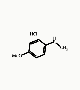 COc1ccc(PC)cc1.Cl